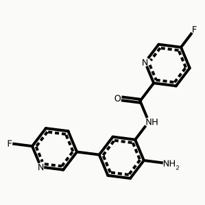 Nc1ccc(-c2ccc(F)nc2)cc1NC(=O)c1ccc(F)cn1